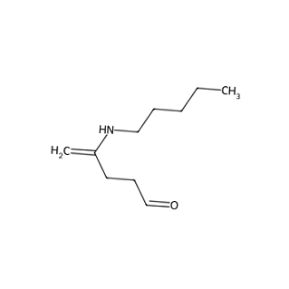 C=C(CCC=O)NCCCCC